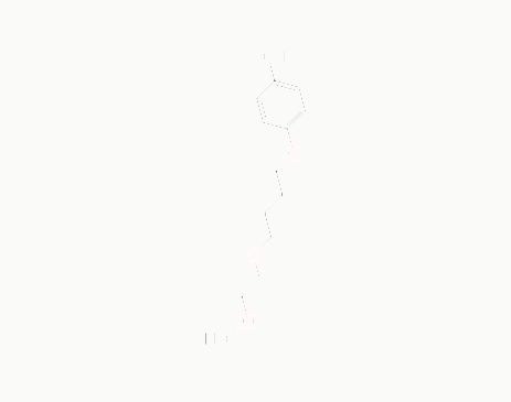 COCCOCCCCOc1ccc(C)cc1